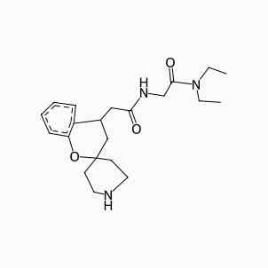 CCN(CC)C(=O)CNC(=O)CC1CC2(CCNCC2)Oc2ccccc21